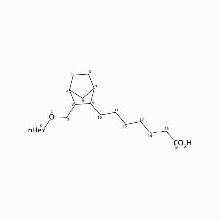 CCCCCCOCC1C2CCC(C2)C1CCCCCCC(=O)O